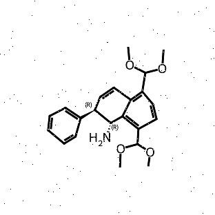 COC(OC)c1ccc(C(OC)OC)c2c1C=C[C@H](c1ccccc1)[C@H]2N